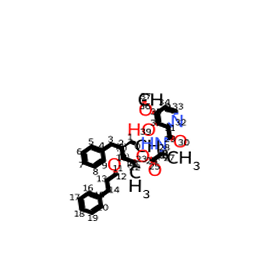 CC[C@H](Cc1ccccc1)[C@@H](OCCCc1ccccc1)[C@H](C)OC(=O)[C@H](C)NC(=O)c1nccc(OC)c1O